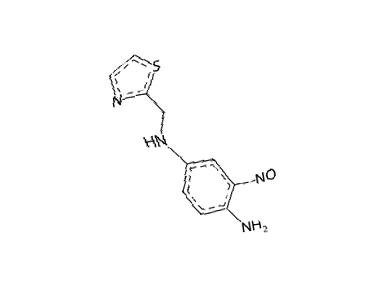 Nc1ccc(NCc2nccs2)cc1N=O